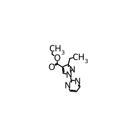 CCOC(=O)c1cn(-c2ncccn2)nc1CC